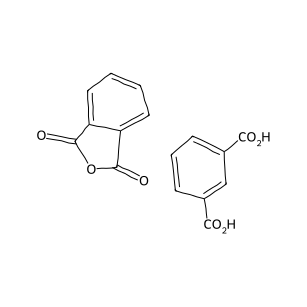 O=C(O)c1cccc(C(=O)O)c1.O=C1OC(=O)c2ccccc21